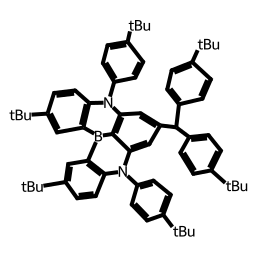 CC(C)(C)c1ccc(C(c2ccc(C(C)(C)C)cc2)c2cc3c4c(c2)N(c2ccc(C(C)(C)C)cc2)c2ccc(C(C)(C)C)cc2B4c2cc(C(C)(C)C)ccc2N3c2ccc(C(C)(C)C)cc2)cc1